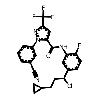 N#Cc1cccc(-n2nc(C(F)(F)F)cc2C(=O)Nc2cc(C(Cl)CCC3CC3)ccc2F)c1